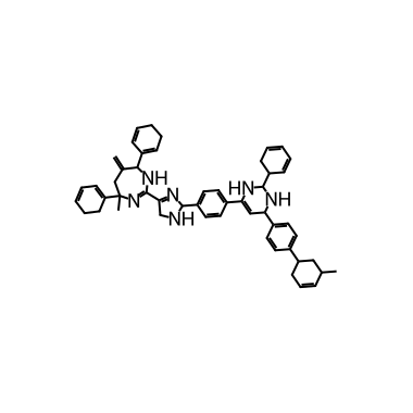 C=C1CC(C)(C2=CC=CCC2)N=C(C2=NC(c3ccc(C4=CC(c5ccc(C6CC=CC(C)C6)cc5)NC(C5C=CC=CC5)N4)cc3)NC2)NC1C1=CCCC=C1